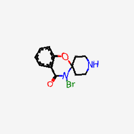 O=C1c2ccccc2OC2(CCNCC2)N1Br